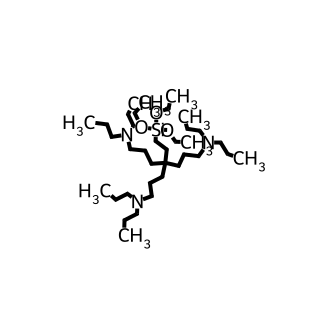 CCCN(CCC)CCCC(CCCN(CCC)CCC)(CCCN(CCC)CCC)CC[Si](OCC)(OCC)OCC